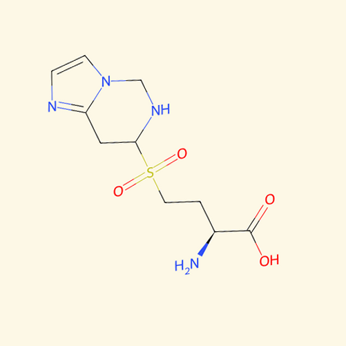 N[C@@H](CCS(=O)(=O)C1Cc2nccn2CN1)C(=O)O